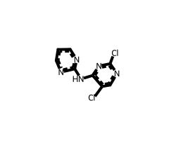 Clc1ncc(Cl)c(Nc2ncccn2)n1